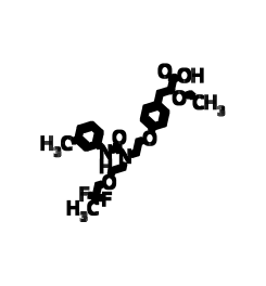 CCOC(Cc1ccc(OCCN(CCOCC(C)(F)F)C(=O)Nc2cccc(C)c2)cc1)C(=O)O